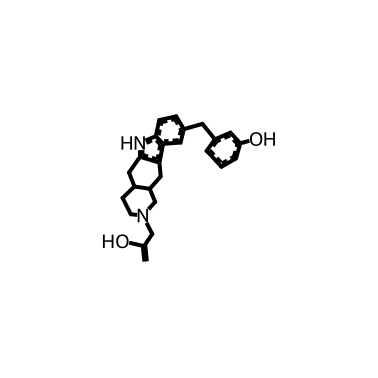 C=C(O)CN1CCC2Cc3[nH]c4ccc(Cc5cccc(O)c5)cc4c3CC2C1